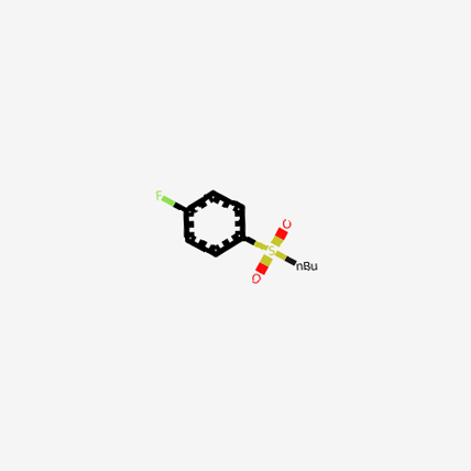 CCCCS(=O)(=O)c1ccc(F)cc1